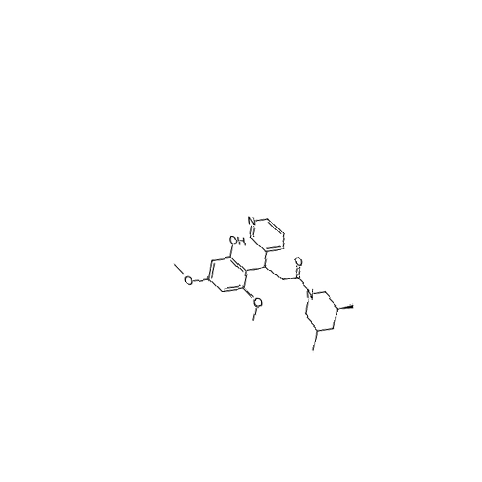 COc1cc(O)c(C(CC(=O)N2CC(C)C[C@H](C)C2)c2cccnc2)c(OC)c1